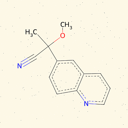 COC(C)(C#N)c1ccc2ncccc2c1